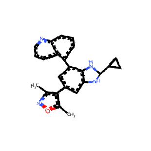 Cc1noc(C)c1-c1cc2c(c(-c3cccc4ncccc34)c1)NC(C1CC1)N2